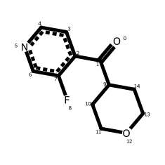 O=C(c1ccncc1F)C1CCOCC1